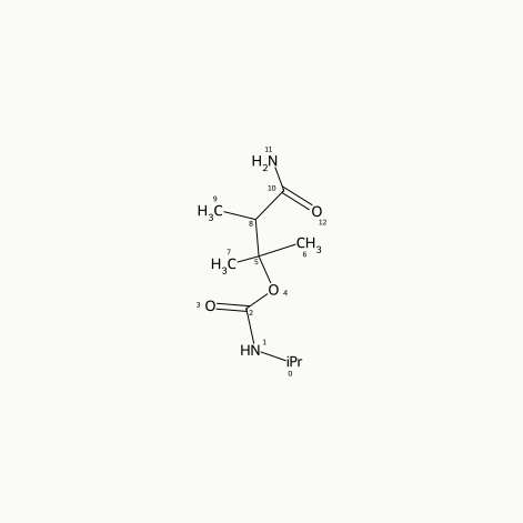 CC(C)NC(=O)OC(C)(C)C(C)C(N)=O